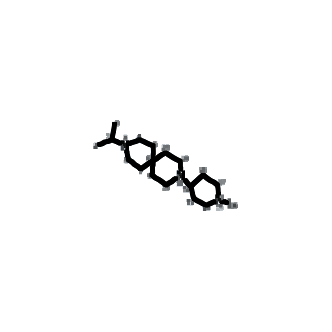 CC(C)N1CCC2(CC1)CCN(C1CCN(I)CC1)CC2